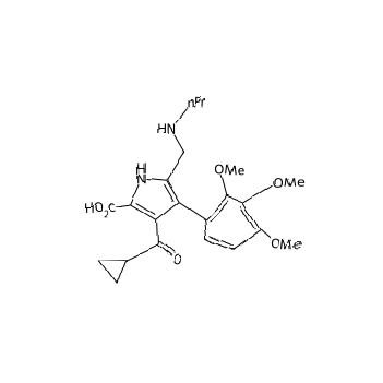 CCCNCc1[nH]c(C(=O)O)c(C(=O)C2CC2)c1-c1ccc(OC)c(OC)c1OC